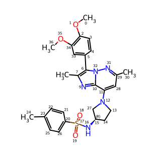 COc1ccc(-c2c(C)nc3c(N4CC[C@@H](NS(=O)(=O)c5ccc(C)cc5)C4)cc(C)nn23)cc1OC